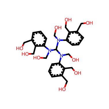 OCc1cccc(N(CO)C(N(CO)c2cccc(CO)c2CO)N(CO)c2cccc(CO)c2CO)c1CO